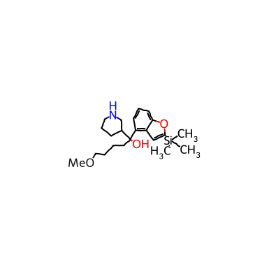 COCCCC[C@@](O)(c1cccc2oc([Si](C)(C)C)cc12)C1CCCNC1